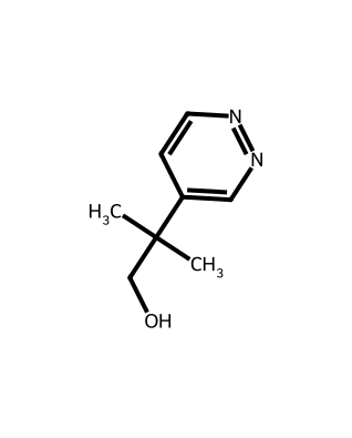 CC(C)(CO)c1ccnnc1